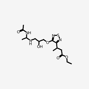 CCOC(=O)CC(C)c1nsnc1OCC(O)CNC(C)NC(C)=O